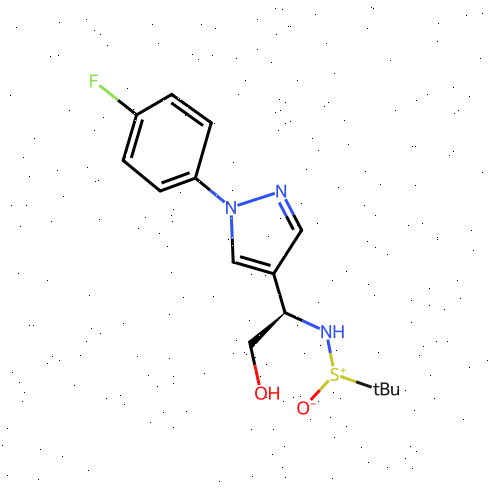 CC(C)(C)[S+]([O-])N[C@@H](CO)c1cnn(-c2ccc(F)cc2)c1